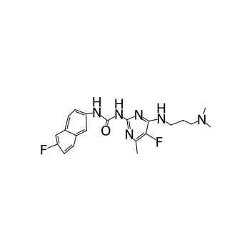 Cc1nc(NC(=O)Nc2ccc3cc(F)ccc3c2)nc(NCCCN(C)C)c1F